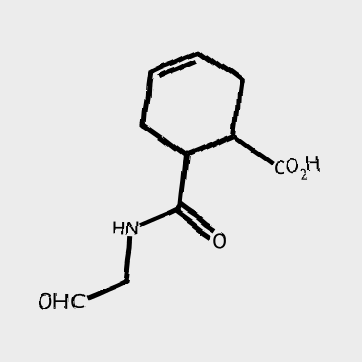 O=CCNC(=O)C1CC=CCC1C(=O)O